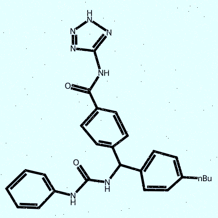 CCCCc1ccc(C(NC(=O)Nc2ccccc2)c2ccc(C(=O)Nc3nn[nH]n3)cc2)cc1